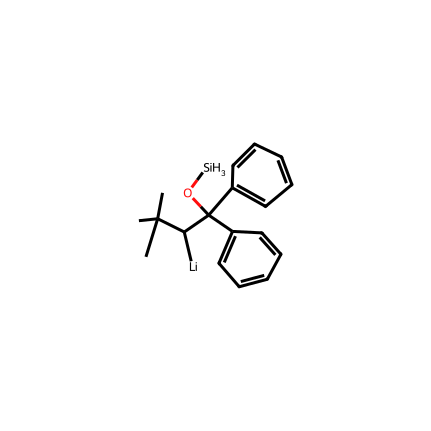 [Li][CH](C(C)(C)C)C(O[SiH3])(c1ccccc1)c1ccccc1